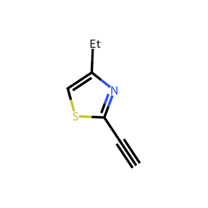 C#Cc1nc(CC)cs1